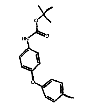 Cc1ccc(Oc2ccc(NC(=O)OC(C)(C)C)cc2)cc1